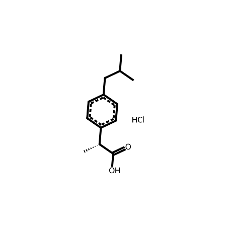 CC(C)Cc1ccc([C@@H](C)C(=O)O)cc1.Cl